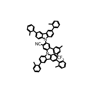 Cc1cc(-c2cc(-n3c4ccc(-c5ccccc5C)cc4c4cc(-c5ccccc5C)ccc43)c(C#N)cc2-n2c3ccc(-c4ccccc4C)cc3c3cc(-c4ccccc4C)ccc32)cc(C(F)(F)F)c1